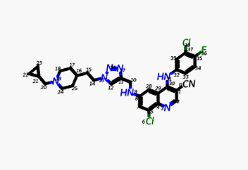 N#Cc1cnc2c(Cl)cc(NCc3cn(CCC4CCN(CC5CC5)CC4)nn3)cc2c1Nc1ccc(F)c(Cl)c1